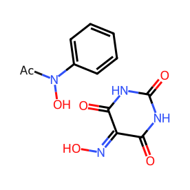 CC(=O)N(O)c1ccccc1.O=C1NC(=O)C(=NO)C(=O)N1